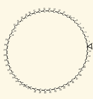 [CH]1CC12CCCCCCCCCCCCCCCCCCCCCCCCCCCCCCCCCCCCCCCCCCCCCCCCCCC2